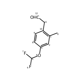 Cc1cc(OC(F)F)ccc1CC=O